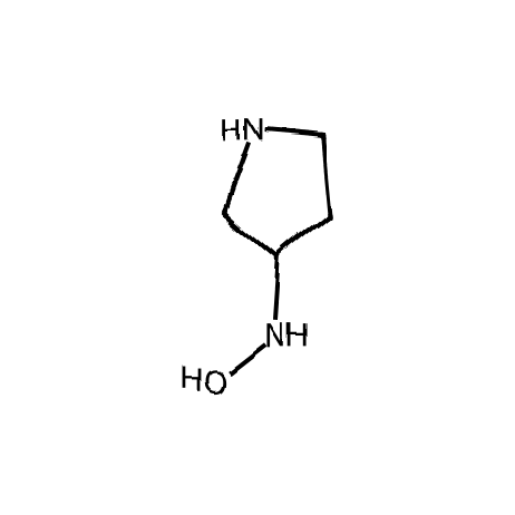 ONC1CCNC1